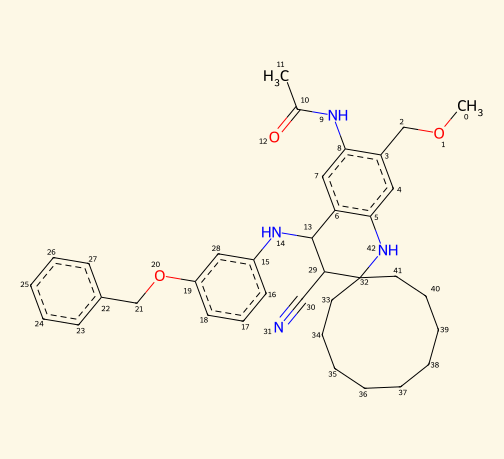 COCc1cc2c(cc1NC(C)=O)C(Nc1cccc(OCc3ccccc3)c1)C(C#N)C1(CCCCCCCCC1)N2